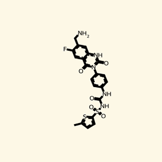 Cc1ccc(S(=O)(=O)NC(=O)Nc2ccc(-n3c(=O)[nH]c4cc(CN)c(F)cc4c3=O)cc2)s1